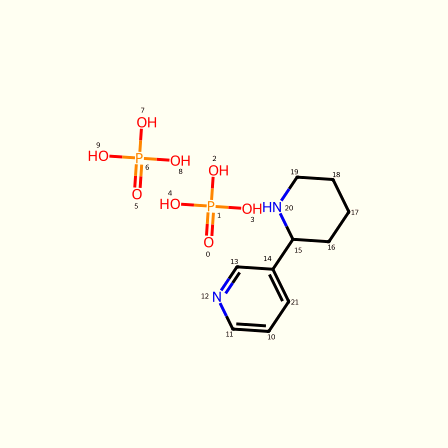 O=P(O)(O)O.O=P(O)(O)O.c1cncc(C2CCCCN2)c1